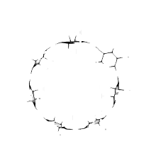 OC1OC2OC3C(O)OC(OC4C(O)OC(OC5C(O)OC(OC6C(O)OC(OC7C(O)OC(OC8C(O)OC(OC1C(O)C2O)C(O)C8O)C(O)C7O)C(O)C6O)C(O)C5O)C(O)C4O)C(O)C3O